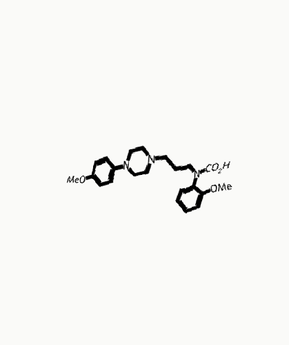 COc1ccc(N2CCN(CCCN(C(=O)O)c3ccccc3OC)CC2)cc1